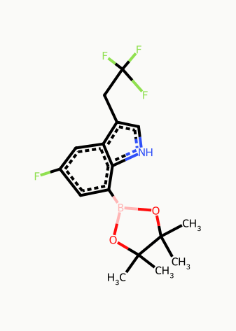 CC1(C)OB(c2cc(F)cc3c(CC(F)(F)F)c[nH]c23)OC1(C)C